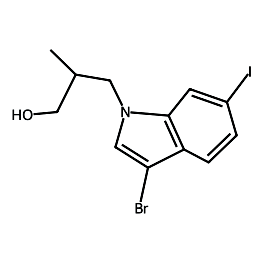 CC(CO)Cn1cc(Br)c2ccc(I)cc21